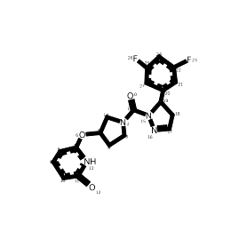 O=C(N1CCC(Oc2cccc(=O)[nH]2)C1)N1N=CCC1c1cc(F)cc(F)c1